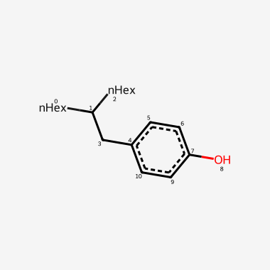 CCCCCCC(CCCCCC)Cc1ccc(O)cc1